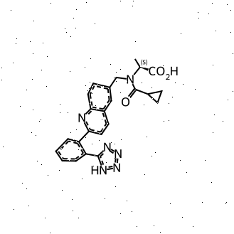 C[C@@H](C(=O)O)N(Cc1ccc2nc(-c3ccccc3-c3nnn[nH]3)ccc2c1)C(=O)C1CC1